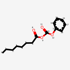 CCCCCCCC(=O)OC(=O)Oc1ccccc1